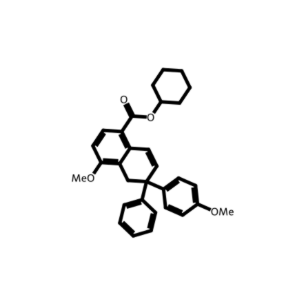 COc1ccc(C2(c3ccccc3)C=Cc3c(C(=O)OC4CCCCC4)ccc(OC)c3C2)cc1